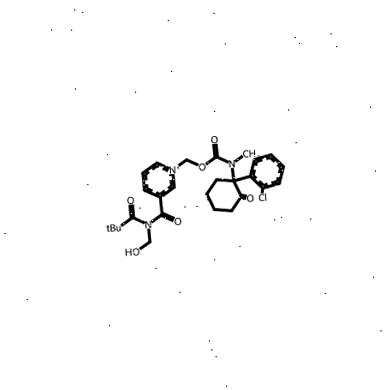 CN(C(=O)OC[n+]1cccc(C(=O)N(CO)C(=O)C(C)(C)C)c1)C1(c2ccccc2Cl)CCCCC1=O